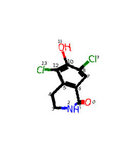 O=C1NCCc2c1cc(Cl)c(O)c2Cl